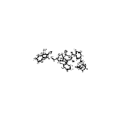 O=C(O[C@@H]1CN2CCC1CC2)c1cccc(CN2CN(c3ccccc3)C3(CCN(CCCn4c(=O)[nH]c5ccccc54)CC3)C2=O)c1